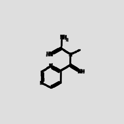 CN(C(=N)N)C(=N)c1ccncn1